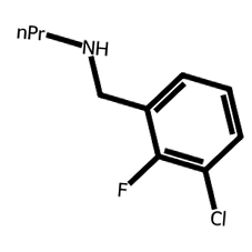 CCCNCc1cccc(Cl)c1F